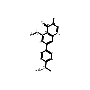 CC(=O)N[C@@H](C)c1ccc(-c2cc3ncn(C)c(=O)c3c(NC(C)C)n2)cc1